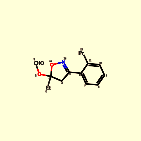 CCC1(OC=O)CC(c2ccccc2C(C)C)=NO1